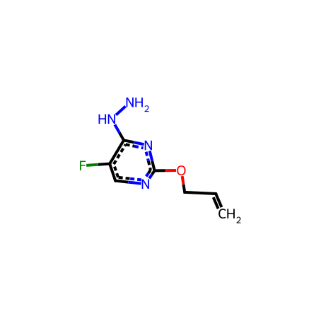 C=CCOc1ncc(F)c(NN)n1